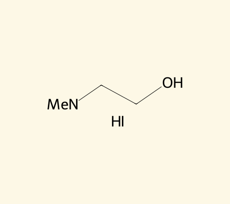 CNCCO.I